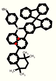 CC(C)(C)c1ccc(N(c2ccccc2)c2cc3c(cc2-c2ccc(-c4cccc5c4C(C)(C)CCC5(C)C)cc2)-c2ccccc2C32c3ccccc3-c3ccccc32)cc1